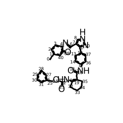 Cc1ccc2nc(-c3c[nH]nc3-c3ccc(NC(=O)C4=C(NC(=O)OCc5ccccc5)CCCC4)cc3)oc2c1